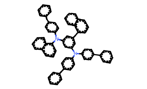 c1ccc(-c2ccc(N(c3ccc(-c4ccccc4)cc3)c3cc(-c4cccc5ccccc45)cc(N(c4ccc(-c5ccccc5)cc4)c4cccc5ccccc45)c3)cc2)cc1